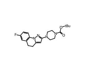 CC(C)(C)OC(=O)N1CCN(c2cc3n(n2)-c2ccc(F)cc2CC3)CC1